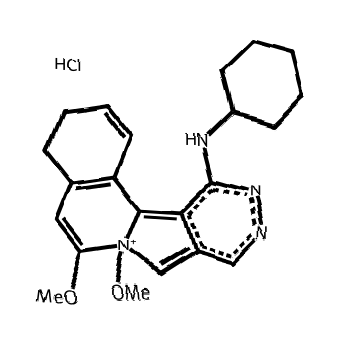 COC1=CC2=C(C=CCC2)C2=c3c(NC4CCCCC4)nncc3=C[N+]12OC.Cl